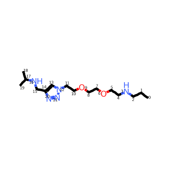 CCCNCCOCCOCCn1cc(CNC(C)C)nn1